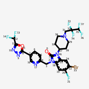 O=c1n(Cc2ccc(-c3nnc(C(F)F)o3)cn2)c2cc(F)c(Br)cc2n1C1CCN(CC(F)(F)C(F)F)CC1